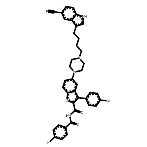 N#Cc1ccc2[nH]cc(CCCCN3CCN(c4ccc5oc(C(=O)NC(=O)c6ccc(Br)cc6)c(-c6ccc(Br)cc6)c5c4)CC3)c2c1